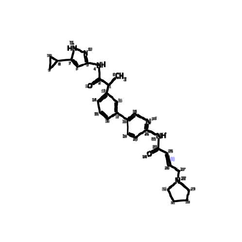 CC(C(=O)Nc1cc(C2CC2)[nH]n1)c1cccc(-c2ccc(NC(=O)/C=C/CN3CCCC3)nc2)c1